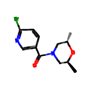 C[C@H]1CN(C(=O)c2ccc(Br)nc2)C[C@H](C)O1